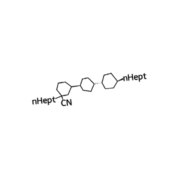 CCCCCCCC1(C#N)CCCC(C2CCC([C@H]3CC[C@H](CCCCCCC)CC3)CC2)C1